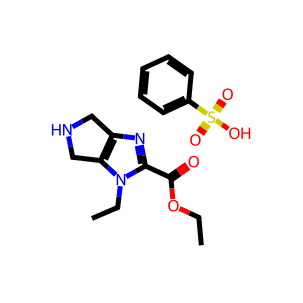 CCOC(=O)c1nc2c(n1CC)CNC2.O=S(=O)(O)c1ccccc1